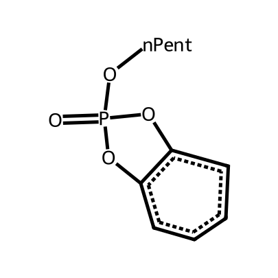 CCCCCOP1(=O)Oc2ccccc2O1